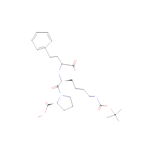 COC(=O)[C@@H]1CCCN1C(=O)[C@H](CCCCNC(=O)OC(C)(C)C)NC(CCc1ccccc1)C(=O)O